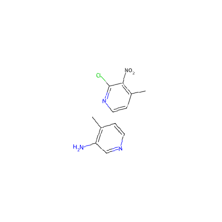 Cc1ccnc(Cl)c1[N+](=O)[O-].Cc1ccncc1N